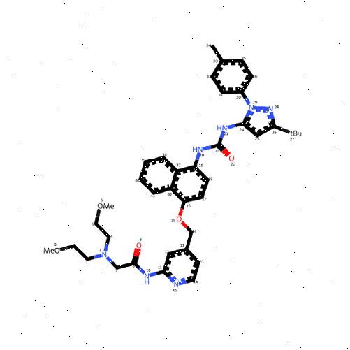 COCCN(CCOC)CC(=O)Nc1cc(COc2ccc(NC(=O)Nc3cc(C(C)(C)C)nn3-c3ccc(C)cc3)c3ccccc23)ccn1